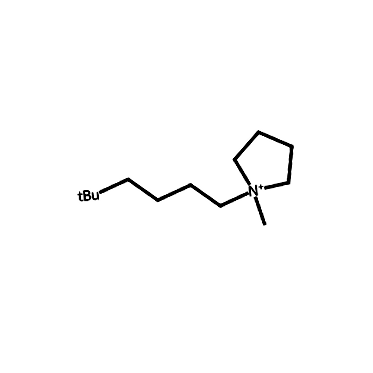 CC(C)(C)CCCC[N+]1(C)CCCC1